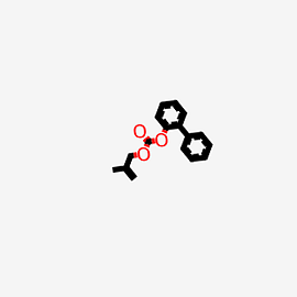 C=C(C)COC(=O)Oc1ccccc1-c1ccccc1